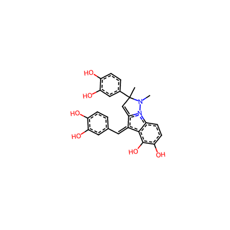 CN1n2c(/c(=C\c3ccc(O)c(O)c3)c3c(O)c(O)ccc32)=CC1(C)c1ccc(O)c(O)c1